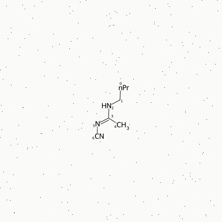 CCCCN/C(C)=N/C#N